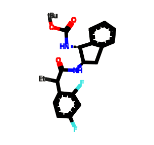 CCC(C(=O)N[C@@H]1Cc2ccccc2[C@H]1NC(=O)OC(C)(C)C)c1ccc(F)cc1F